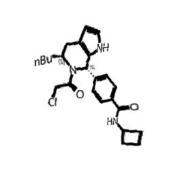 CCCC[C@H]1Cc2cc[nH]c2[C@H](c2ccc(C(=O)NC3CCC3)cc2)N1C(=O)CCl